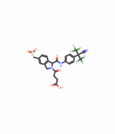 N#CC(c1ccc(NC(=O)C2c3ccc(C[SH](=O)=O)cc3CN2C(=O)CCC(=O)O)cc1)(C(F)(F)F)C(F)(F)F